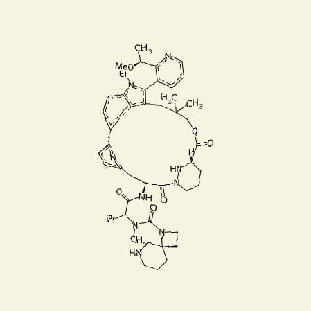 CCn1c(-c2cccnc2[C@H](C)OC)c2c3cc(ccc31)-c1csc(n1)C[C@H](NC(=O)C(C(C)C)N(C)C(=O)N1CC[C@]13CCCNC3)C(=O)N1CCC[C@H](N1)C(=O)OCC(C)(C)C2